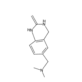 C=C1NCc2cc(CN(C)C)ccc2N1